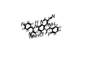 CCC(Nc1c(C#N)cnc2c(N[C@@H](c3ccc(F)cc3)c3c[nH]nn3)cc(Cl)cc12)c1ccccc1F